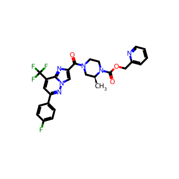 C[C@H]1CN(C(=O)c2cn3nc(-c4ccc(F)cc4)cc(C(F)(F)F)c3n2)CCN1C(=O)OCc1ccccn1